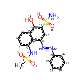 CS(=O)(=O)Nc1cccc2c(O)c(S(N)(=O)=O)cc(/N=N/c3ccccc3)c12